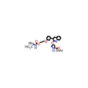 COC(=O)[C@@H]1C[C@@H](Oc2nc3ccccc3cc2-c2cccc(OCCCOC(=O)N[C@H](C(=O)O)C(C)(C)C)c2)CN1